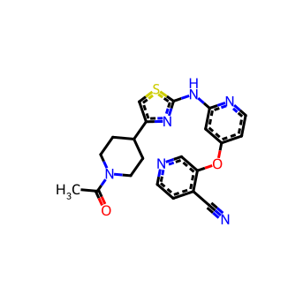 CC(=O)N1CCC(c2csc(Nc3cc(Oc4cnccc4C#N)ccn3)n2)CC1